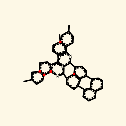 Cc1ccc(-c2nc(-c3ccc(C)cc3)nc(-c3ccc(-c4cccc5cccc(-c6ccc(-c7nc(-c8ccc(C)cc8)nc(-c8ccc(C)cc8)n7)cc6)c45)cc3)n2)cc1